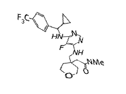 CNC(=O)CC1(CNc2ncnc(NC(c3ccc(C(F)(F)F)cc3)C3CC3)c2F)CCOCC1